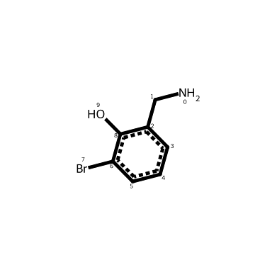 NCc1cccc(Br)c1O